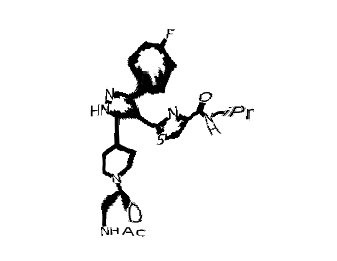 CC(=O)NCC(=O)N1CCC(c2[nH]nc(-c3ccc(F)cc3)c2-c2nc(C(=O)NC(C)C)cs2)CC1